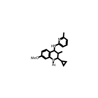 COc1ccc2c(c1)N(C(C)=O)C(C1CC1)C(C)C2Nc1cccc(C)n1